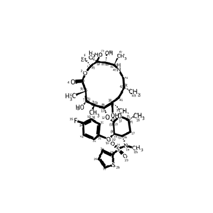 CC[C@H]1OC(=O)[C@H](C)[C@@H](O)[C@H](C)[C@@H](O[C@@H]2O[C@H](C)C[C@H](N(C)S(=O)(=O)c3cccs3)[C@H]2Oc2ccc(F)cc2)[C@](C)(O)C[C@@H](C)CN[C@H](C)[C@@H](O)[C@]1(C)O